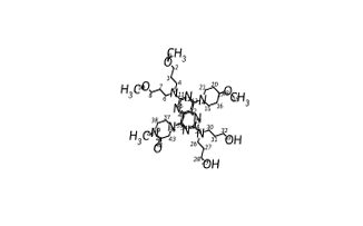 COCCCN(CCCOC)c1nc(N2CCC(OC)CC2)c2nc(N(CCCO)CCCO)nc(N3CCN(C)C(=O)C3)c2n1